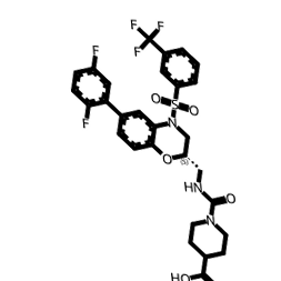 O=C(O)C1CCN(C(=O)NC[C@H]2CN(S(=O)(=O)c3cccc(C(F)(F)F)c3)c3cc(-c4cc(F)ccc4F)ccc3O2)CC1